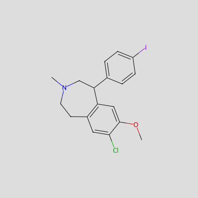 COc1cc2c(cc1Cl)CCN(C)CC2c1ccc(I)cc1